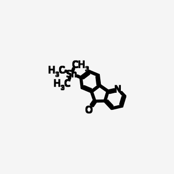 [CH3][Sn]([CH3])([CH3])[c]1ccc2c(c1)C(=O)c1cccnc1-2